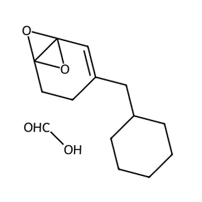 C1=C(CC2CCCCC2)CCC23OC12O3.O=CO